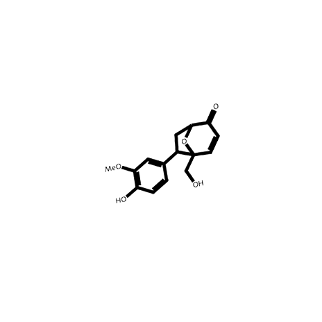 COc1cc(C2CC3OC2(CO)C=CC3=O)ccc1O